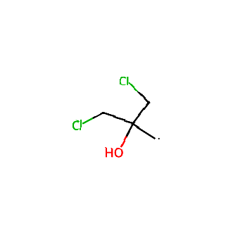 [CH2]C(O)(CCl)CCl